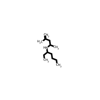 C=C(C)CC(C)NC(CC)CCCC